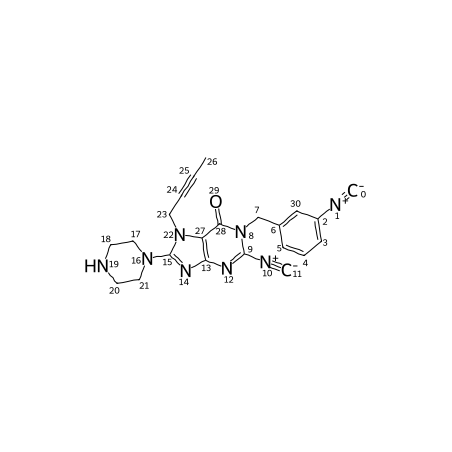 [C-]#[N+]c1cccc(Cn2c([N+]#[C-])nc3nc(N4CCNCC4)n(CC#CC)c3c2=O)c1